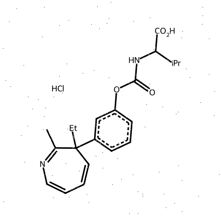 CCC1(c2cccc(OC(=O)NC(C(=O)O)C(C)C)c2)C=CC=CN=C1C.Cl